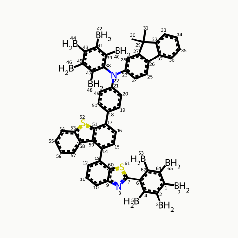 Bc1c(B)c(B)c(-c2nc3cccc(-c4ccc(-c5ccc(N(c6ccc7c(c6)C(C)(C)c6ccccc6-7)c6c(B)c(B)c(B)c(B)c6B)cc5)c5sc6ccccc6c45)c3s2)c(B)c1B